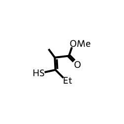 CCC(S)=C(C)C(=O)OC